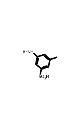 CC(=O)Nc1cc(C)cc(S(=O)(=O)O)c1